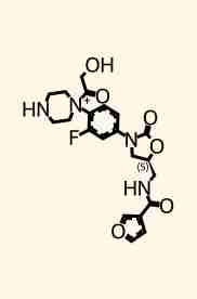 O=C(NC[C@H]1CN(c2ccc([N+]3(C(=O)CO)CCNCC3)c(F)c2)C(=O)O1)c1ccoc1